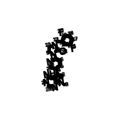 Cn1cc(-c2ccc(N3CCN(Cc4cc(F)ccc4F)C3=O)nc2)c2c(N)ncnc21